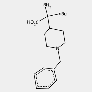 BC(CCCC)(C(=O)O)C1CCN(Cc2ccccc2)CC1